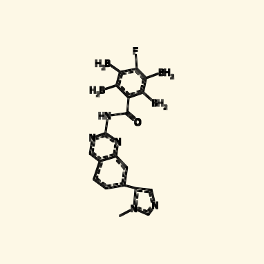 Bc1c(B)c(C(=O)Nc2ncc3ccc(-c4cncn4C)cc3n2)c(B)c(B)c1F